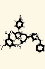 C[C@@H](OC1CN2C(=O)CC(c3cnn(Cc4ccccc4)c3)CC2[C@@H]1c1ccc(F)cc1)c1cc(C(F)(F)F)cc(C(F)(F)F)c1